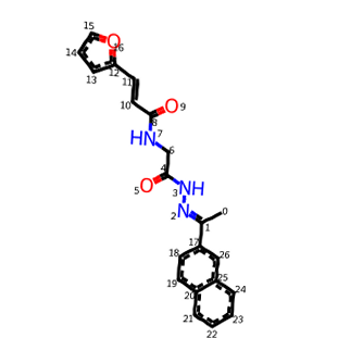 C/C(=N\NC(=O)CNC(=O)/C=C/c1ccco1)c1ccc2ccccc2c1